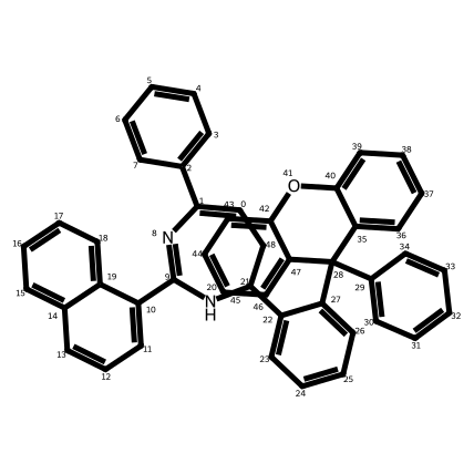 C1=C(c2ccccc2)N=C(c2cccc3ccccc23)NC(c2ccccc2C2(c3ccccc3)c3ccccc3Oc3ccccc32)C1